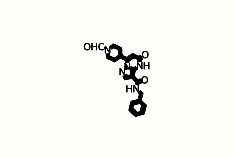 O=CN1CCC(c2cc(=O)[nH]c3c(C(=O)NCc4ccccc4)cnn23)CC1